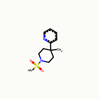 [CH2]C1(c2ccccn2)CCN(S(=O)(=O)CCC)CC1